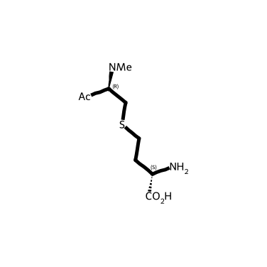 CN[C@@H](CSCC[C@H](N)C(=O)O)C(C)=O